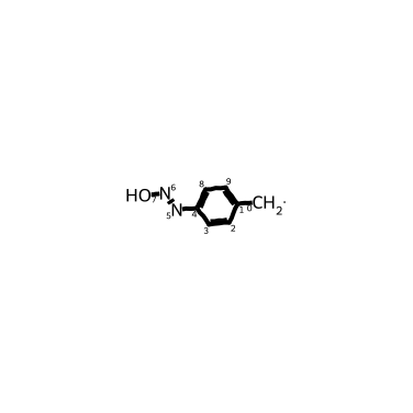 [CH2]c1ccc(N=NO)cc1